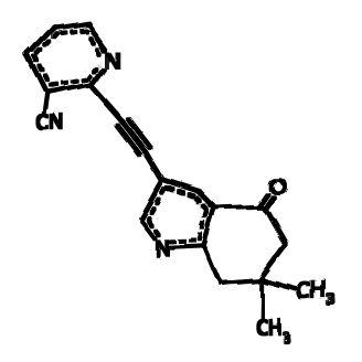 CC1(C)CC(=O)c2cc(C#Cc3ncccc3C#N)cnc2C1